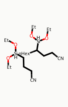 CCCCCCC(CCC#N)[SiH](OCC)OCC.CCO[SiH](CCCC#N)OCC